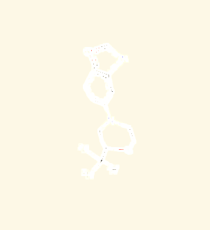 [2H]C([2H])([2H])C1CN(c2ccc3ocnc3c2)CCO1